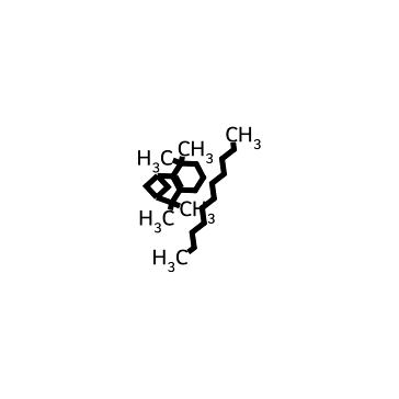 CC1(C)CCCC2=C1C1CC(C1)C2(C)C.CCCCCCCCCCC